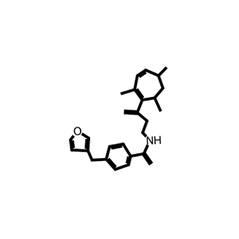 C=C(CCNC(=C)c1ccc(Cc2ccoc2)cc1)C1=C(C)C=CC(C)CC1C